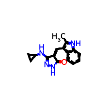 Cc1[nH]c2ccccc2c1C=C1C(=O)NN=C1NC1CC1